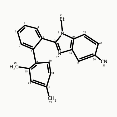 CCn1c(-c2ccccc2-c2ccc(C)cc2C)nc2cc(C#N)ccc21